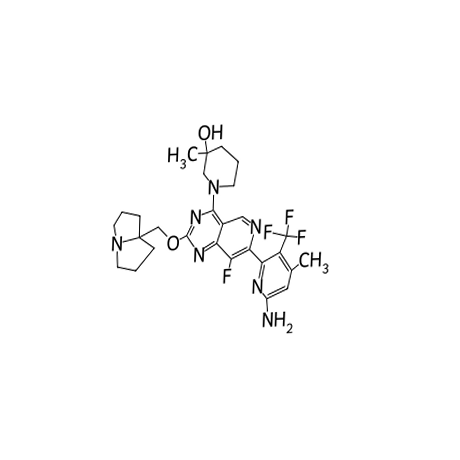 Cc1cc(N)nc(-c2ncc3c(N4CCCC(C)(O)C4)nc(OCC45CCCN4CCC5)nc3c2F)c1C(F)(F)F